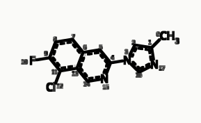 Cc1cn(-c2cc3ccc(F)c(Cl)c3cn2)cn1